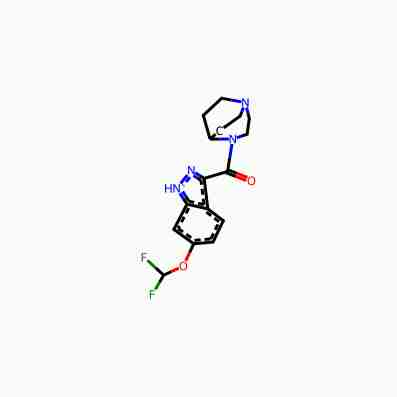 O=C(c1n[nH]c2cc(OC(F)F)ccc12)N1CCN2CCC1CC2